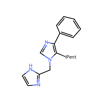 CCCC(C)c1c(-c2ccccc2)ncn1Cc1ncc[nH]1